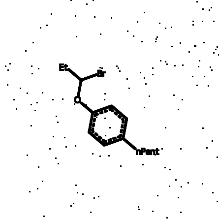 CCCCCc1ccc(OC(Br)CC)cc1